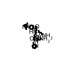 Cc1cnc(C)n1C1CCN(C(=O)[C@@H](CCCCN)NC(=O)CNC(=O)[C@@H](Cc2ccccc2)NC(=O)CN)CC1